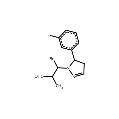 CC(C=O)C(Br)N1N=CCC1c1cccc(F)c1